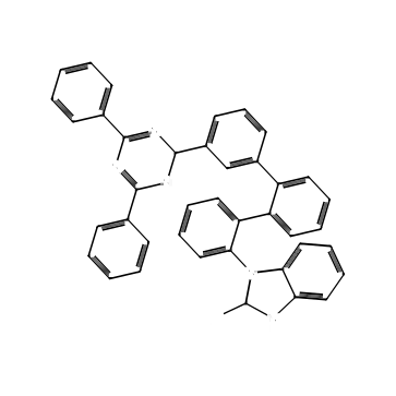 CC1Nc2ccccc2N1c1ccccc1-c1ccccc1-c1cccc(C2N=C(c3ccccc3)N=C(c3ccccc3)N2)c1